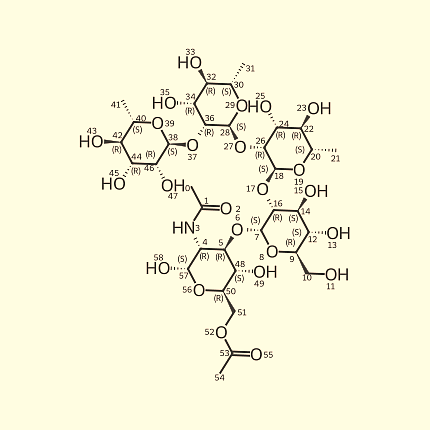 CC(=O)N[C@@H]1[C@@H](O[C@H]2O[C@H](CO)[C@@H](O)[C@H](O)[C@H]2O[C@@H]2O[C@@H](C)[C@H](O)[C@@H](O)[C@H]2O[C@@H]2O[C@@H](C)[C@H](O)[C@@H](O)[C@H]2O[C@@H]2O[C@@H](C)[C@H](O)[C@@H](O)[C@H]2O)[C@H](O)[C@@H](COC(C)=O)O[C@@H]1O